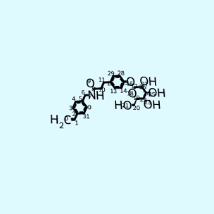 C=Cc1ccc(CNC(=O)CCc2ccc(O[C@@H]3O[C@H](CO)[C@@H](O)[C@H](O)[C@@H]3O)cc2)cc1